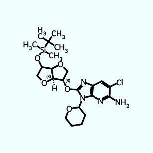 CC(C)(C)[Si](C)(C)OC1CO[C@H]2C1OC[C@H]2Oc1nc2cc(Cl)c(N)nc2n1C1CCCCO1